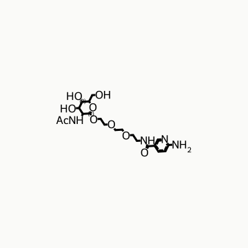 CC(=O)NC1C(O)[C@@H](O)C(CO)O[C@H]1OCCOCCOCCNC(=O)c1ccc(N)nc1